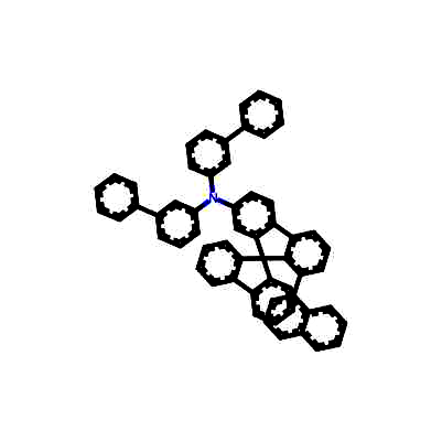 c1ccc(-c2cccc(N(c3cccc(-c4ccccc4)c3)c3ccc4c(c3)C3(c5ccccc5-c5ccccc53)c3c-4cccc3-c3cccc4ccccc34)c2)cc1